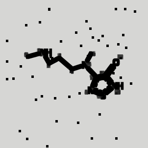 CNCCCN(C)c1ns[nH]c1=O